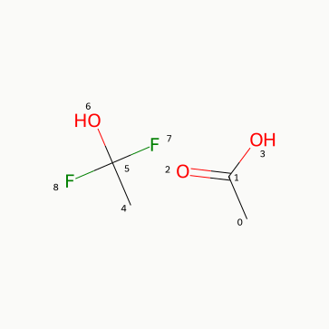 CC(=O)O.CC(O)(F)F